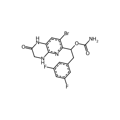 NC(=O)OC(Cc1cc(F)cc(F)c1)c1nc2c(cc1Br)NC(=O)CN2